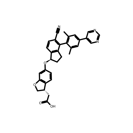 Cc1cc(-c2cncnc2)cc(C)c1-c1c(C#N)ccc2c1CC[C@H]2Oc1ccc2c(c1)OC[C@H]2CC(=O)O